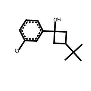 CC(C)(C)C1CC(O)(c2cccc(Cl)c2)C1